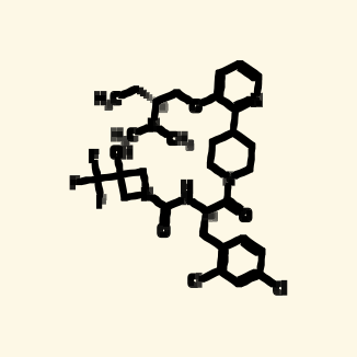 CC[C@H](COc1cccnc1C1CCN(C(=O)[C@@H](Cc2ccc(Cl)cc2Cl)NC(=O)N2CC(O)(C(F)(F)F)C2)CC1)N(C)C